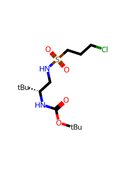 CC(C)(C)OC(=O)N[C@@H](CNS(=O)(=O)CCCCl)C(C)(C)C